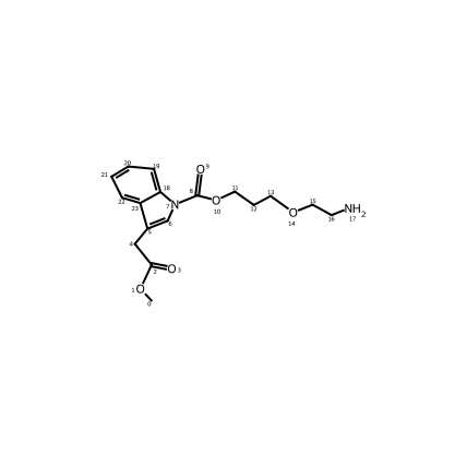 COC(=O)Cc1cn(C(=O)OCCCOCCN)c2ccccc12